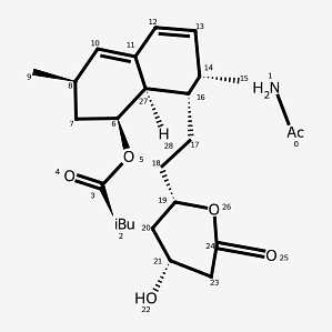 CC(N)=O.CC[C@H](C)C(=O)O[C@H]1C[C@@H](C)C=C2C=C[C@H](C)[C@H](CC[C@H]3C[C@@H](O)CC(=O)O3)[C@H]21